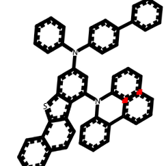 c1ccc(-c2ccc(N(c3ccccc3)c3cc(N(c4ccccc4)c4ccccc4-c4ccccc4)c4c(c3)sc3c5ccccc5ccc34)cc2)cc1